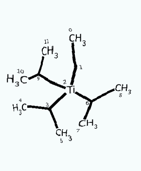 C[CH2][Ti]([CH](C)C)([CH](C)C)[CH](C)C